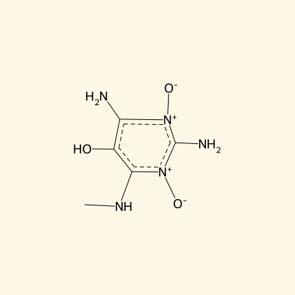 CNc1c(O)c(N)[n+]([O-])c(N)[n+]1[O-]